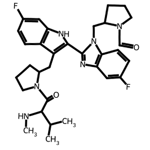 CNC(C(=O)N1CCCC1Cc1c(-c2nc3cc(F)ccc3n2CC2CCCN2C=O)[nH]c2cc(F)ccc12)C(C)C